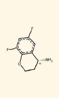 N[C@@H]1CCOc2c(F)cc(F)cc21